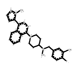 CN(Cc1ccc(F)c(C#N)c1)C1CCN(c2nnc(-c3ccnn3C)c3ccccc23)CC1